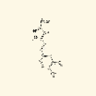 CCCCCCCCCc1noc(/C=C/c2ccc(O)c(O)c2)n1